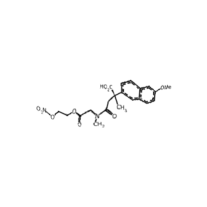 COc1ccc2cc([C@](C)(CC(=O)N(C)CC(=O)OCCO[N+](=O)[O-])C(=O)O)ccc2c1